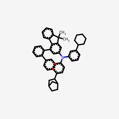 CC1(C)c2ccccc2-c2c(-c3ccccc3-c3ccccc3)cc(N(c3ccc(C4CC5CCC4C5)cc3)c3cccc(C4CCCCC4)c3)cc21